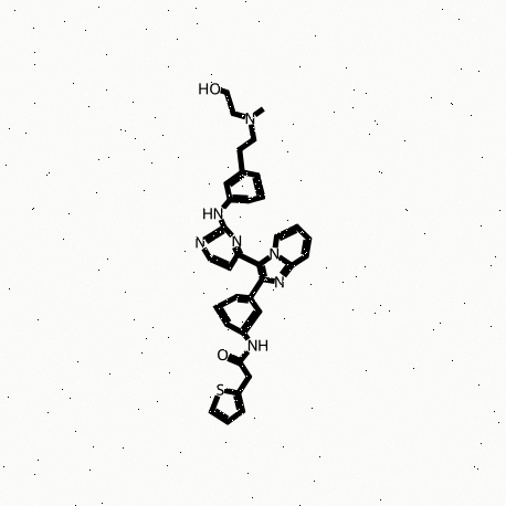 CN(CCO)CCc1cccc(Nc2nccc(-c3c(-c4cccc(NC(=O)Cc5cccs5)c4)nc4ccccn34)n2)c1